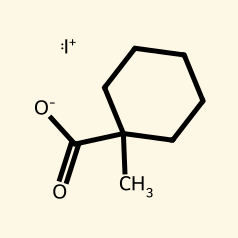 CC1(C(=O)[O-])CCCCC1.[I+]